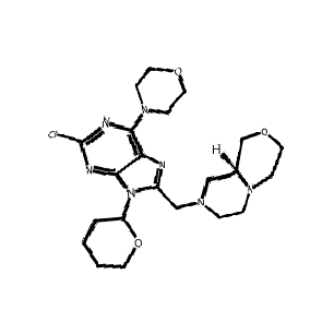 Clc1nc(N2CCOCC2)c2nc(CN3CCN4CCOC[C@H]4C3)n(C3CCCCO3)c2n1